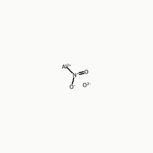 O=[N+]([O-])[Al+2].[O-2]